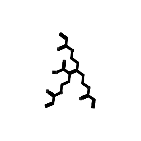 C=CC(=O)OCCC(CCOC(=O)C=C)=C(CCOC(=O)C=C)C(=O)O